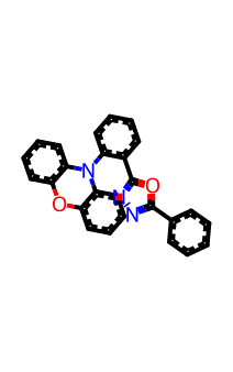 c1ccc(-c2nnc(-c3ccccc3N3c4ccccc4Oc4ccccc43)o2)cc1